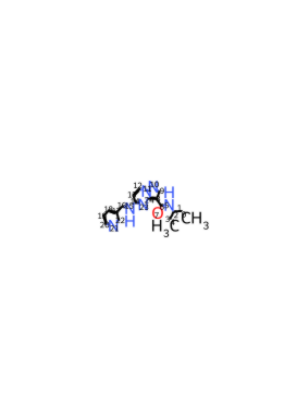 CCC(CC)NC(=O)c1cnn2ccc(NCc3cccnc3)nc12